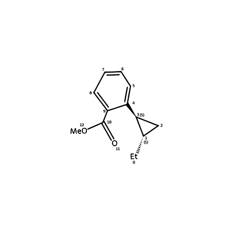 CC[C@H]1C[C@@H]1c1ccccc1C(=O)OC